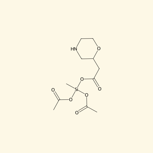 CC(=O)O[Si](C)(OC(C)=O)OC(=O)CC1CNCCO1